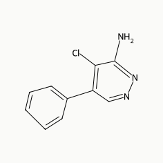 Nc1nncc(-c2ccccc2)c1Cl